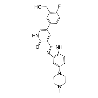 CN1CCN(c2ccc3[nH]c(-c4cc(-c5ccc(F)c(CO)c5)c[nH]c4=O)nc3c2)CC1